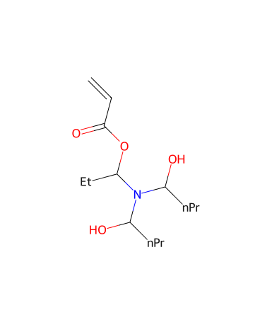 C=CC(=O)OC(CC)N(C(O)CCC)C(O)CCC